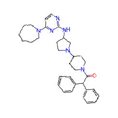 O=C(C(c1ccccc1)c1ccccc1)N1CCC(N2CCC(Nc3nccc(N4CCCCCC4)n3)C2)CC1